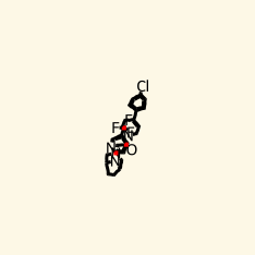 O=C(CN1CC2CCC(C1)N2c1ccc(C(F)(F)F)cn1)N1CC=C(c2ccc(Cl)cc2)CC1